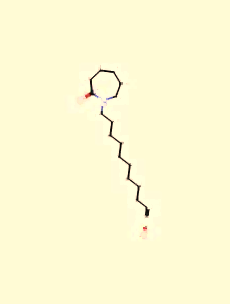 O=C=CCCCCCCCCCN1CCCCCC1=O